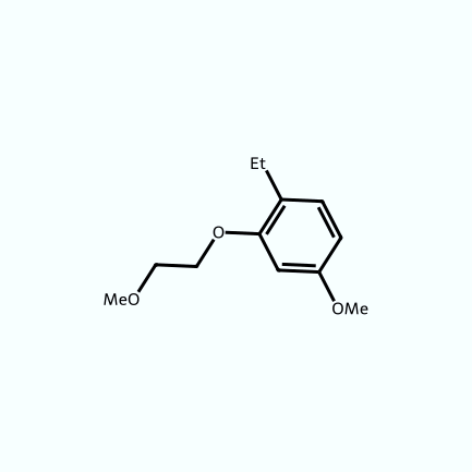 CCc1ccc(OC)cc1OCCOC